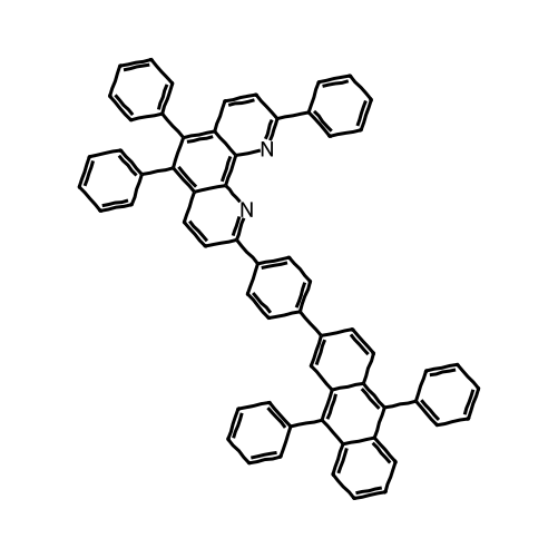 c1ccc(-c2ccc3c(-c4ccccc4)c(-c4ccccc4)c4ccc(-c5ccc(-c6ccc7c(-c8ccccc8)c8ccccc8c(-c8ccccc8)c7c6)cc5)nc4c3n2)cc1